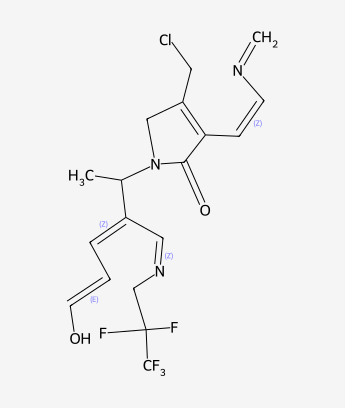 C=N/C=C\C1=C(CCl)CN(C(C)C(/C=N\CC(F)(F)C(F)(F)F)=C/C=C/O)C1=O